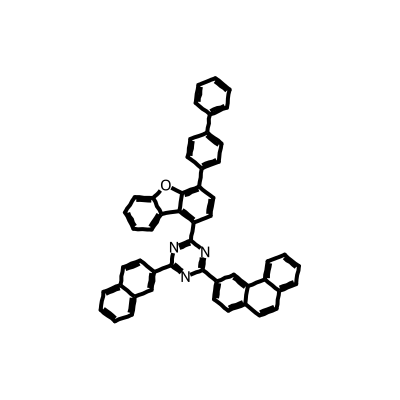 c1ccc(-c2ccc(-c3ccc(-c4nc(-c5ccc6ccccc6c5)nc(-c5ccc6ccc7ccccc7c6c5)n4)c4c3oc3ccccc34)cc2)cc1